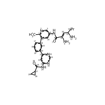 Cc1ncc(NC(=O)/C(N)=C/C(N)C(C)C)cc1-c1cccc(-c2cc(NC(=O)C3CC3)ncn2)c1